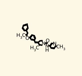 Cc1ccc(NC(=O)N2CCC(=Cc3cccc(OC(C)Cc4ccccc4)c3)C(C)C2)cn1